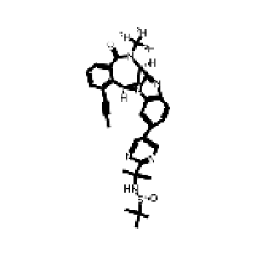 [2H]C([2H])([2H])N1C(=O)c2cccc(C#CC)c2[C@H]2C[C@@H]1c1nc3ccc(-c4cnc(C(C)(C)N[S+]([O-])C(C)(C)C)nc4)cc3n12